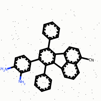 N#Cc1ccc2c3c(cccc13)-c1c(-c3ccccc3)c(-c3ccc(N)c(N)c3)cc(-c3ccccc3)c1-2